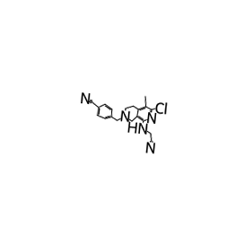 Cc1c(Cl)nc(NCC#N)c2c1CCN(Cc1ccc(C#N)cc1)C2